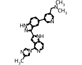 Cc1cn(-c2nccc3[nH]c(-c4n[nH]c5ccc(-c6cncc(CN(C)C)c6)cc45)cc23)cn1